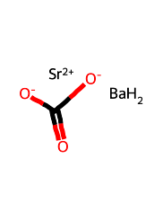 O=C([O-])[O-].[BaH2].[Sr+2]